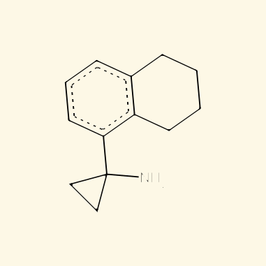 NC1(c2cccc3c2CCCC3)CC1